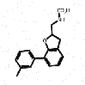 Cc1cccc(-c2cccc3c2OC(CNC(=O)O)C3)c1